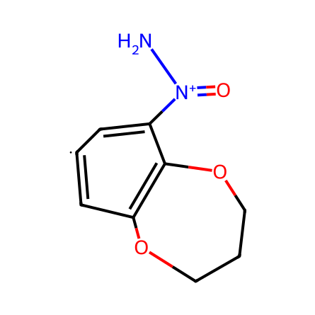 N[N+](=O)c1c[c]cc2c1OCCCO2